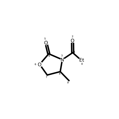 CCC(=O)N1C(=O)OCC1C